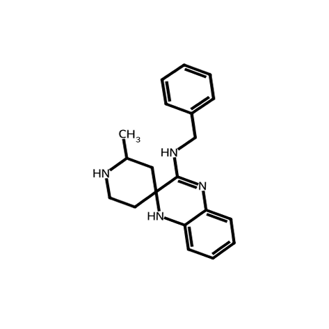 CC1CC2(CCN1)Nc1ccccc1N=C2NCc1ccccc1